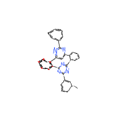 CC1C=C(c2nc(-c3ccccc3)nc(-c3ccccc3-c3cc(-c4ccccc4)nc(-c4ccccc4)n3)n2)C=CC1